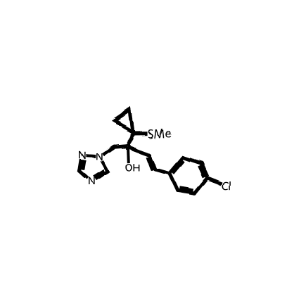 CSC1(C(O)(C=Cc2ccc(Cl)cc2)Cn2cncn2)CC1